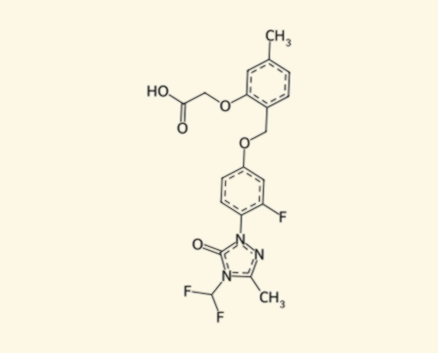 Cc1ccc(COc2ccc(-n3nc(C)n(C(F)F)c3=O)c(F)c2)c(OCC(=O)O)c1